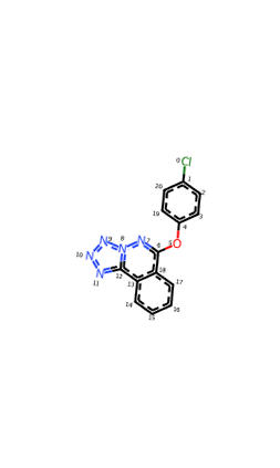 Clc1ccc(Oc2nn3nnnc3c3ccccc23)cc1